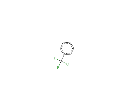 FC(F)(Cl)c1c[c]ccc1